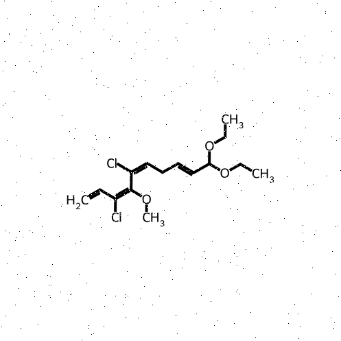 C=C/C(Cl)=C(OC)\C(Cl)=C/C/C=C/C(OCC)OCC